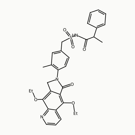 CCOc1c2c(c(OCC)c3ncccc13)CN(c1ccc(CS(=O)(=O)NC(=O)C(C)c3ccccc3)cc1C)C2=O